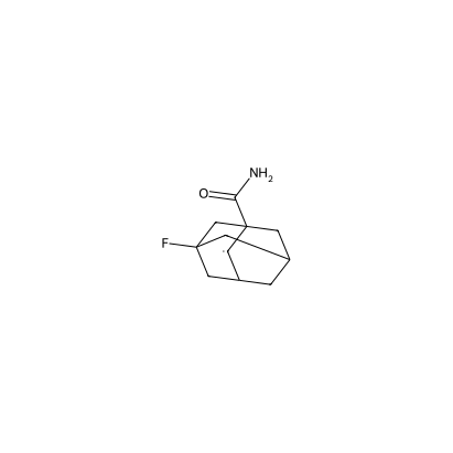 NC(=O)C12[CH]C3CC(CC(F)(C3)C1)C2